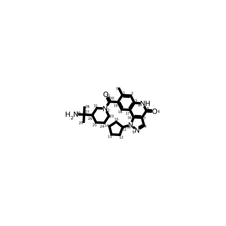 Cc1cc2[nH]c(=O)c3cnn(C4CCCC4)c3c2cc1C(=O)N1CCCC(C(C)(C)N)C1